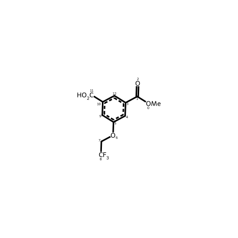 COC(=O)c1cc(OCC(F)(F)F)cc(C(=O)O)c1